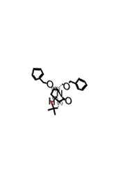 CC(C)(C)C[C@H]1C(=O)N2[C@@H]1C[C@H](OCc1ccccc1)[C@@H]2COCc1ccccc1